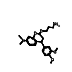 COc1ccc(C2CC(OCCCN)Oc3cc(N(C)C)ccc32)cc1OC